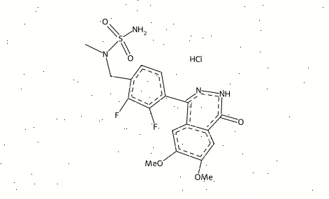 COc1cc2c(-c3ccc(CN(C)S(N)(=O)=O)c(F)c3F)n[nH]c(=O)c2cc1OC.Cl